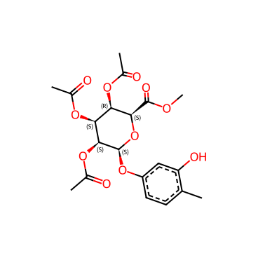 COC(=O)[C@H]1O[C@@H](Oc2ccc(C)c(O)c2)[C@@H](OC(C)=O)[C@@H](OC(C)=O)[C@H]1OC(C)=O